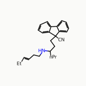 CC/C=C/CCNC(CCC)CCC1(C#N)c2ccccc2-c2ccccc21